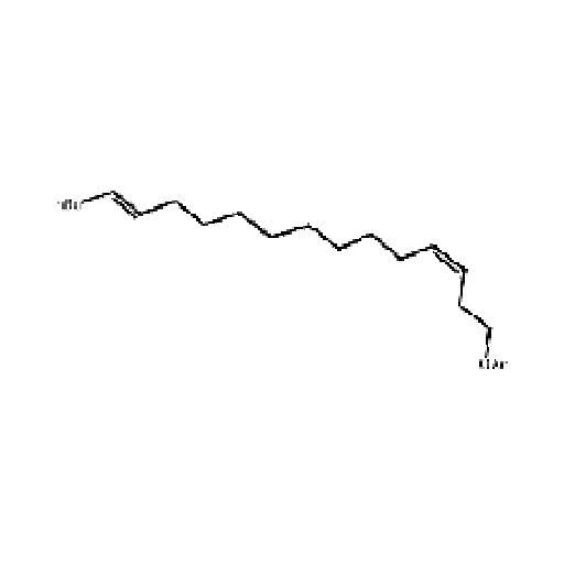 CCCC/C=C/CCCCCCCC/C=C\CCOC(C)=O